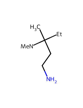 CCC(C)(CCN)NC